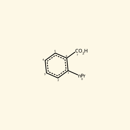 C[CH]Cc1ccccc1C(=O)O